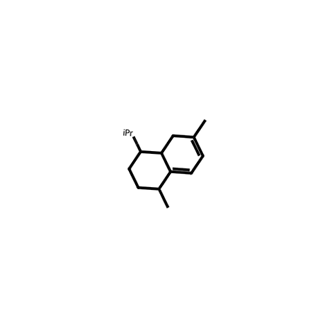 CC1=CC=C2C(C)CCC(C(C)C)C2C1